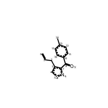 C=CCc1csnc1C(=O)c1ccc(C)cc1